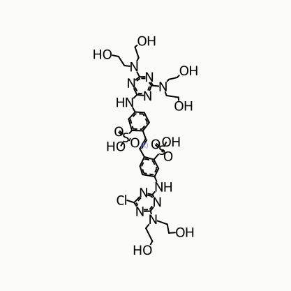 O=S(=O)(O)c1cc(Nc2nc(Cl)nc(N(CCO)CCO)n2)ccc1/C=C/c1ccc(Nc2nc(N(CCO)CCO)nc(N(CCO)CCO)n2)cc1S(=O)(=O)O